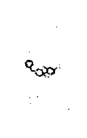 Cc1cnc(C2(C#N)CCN(Cc3ccccc3)CC2)c(F)c1